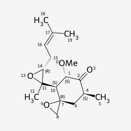 CO[C@@H]1C(=O)[C@@H](C)C[C@]2(CO2)[C@H]1C1(C)O[C@@H]1CC=C(C)C